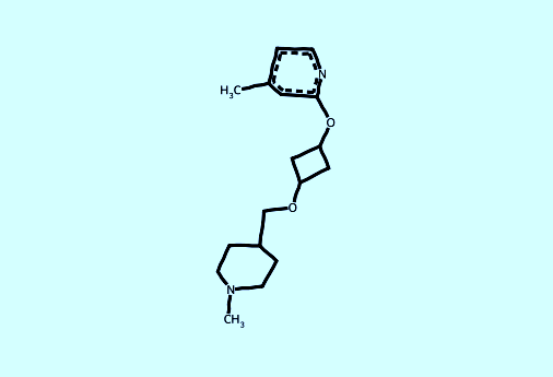 Cc1ccnc(OC2CC(OCC3CCN(C)CC3)C2)c1